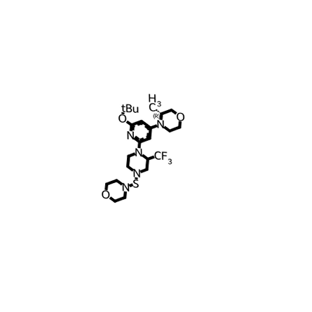 C[C@@H]1COCCN1c1cc(OC(C)(C)C)nc(N2CCN(SN3CCOCC3)CC2C(F)(F)F)c1